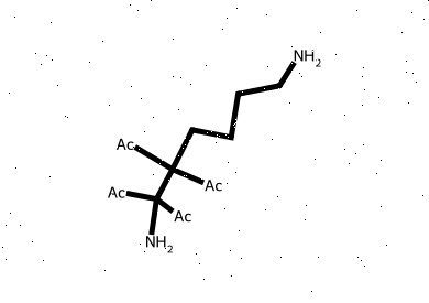 CC(=O)C(N)(C(C)=O)C(CCCCN)(C(C)=O)C(C)=O